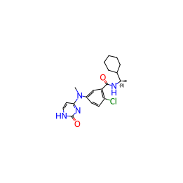 C[C@@H](NC(=O)c1cc(N(C)c2cc[nH]c(=O)n2)ccc1Cl)C1CCCCC1